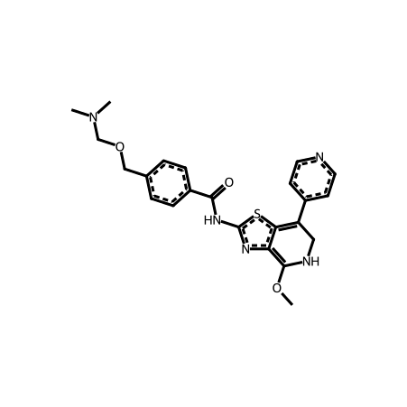 COC1=c2nc(NC(=O)c3ccc(COCN(C)C)cc3)sc2=C(c2ccncc2)CN1